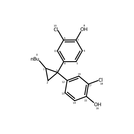 CCCCC1CC1(c1ccc(O)c(Cl)c1)c1ccc(O)c(Cl)c1